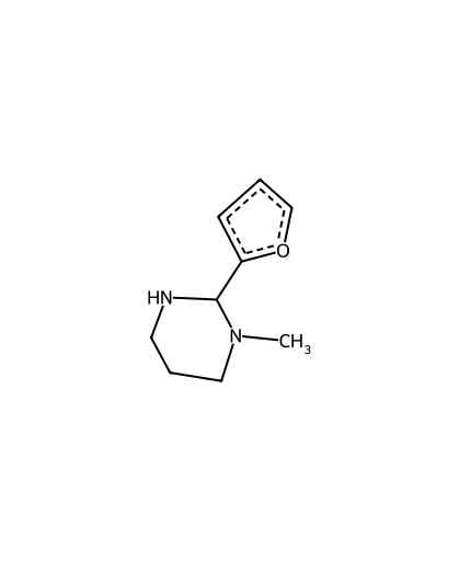 CN1CCCNC1c1ccco1